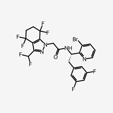 O=C(Cn1nc(C(F)F)c2c1C(F)(F)CCC2(F)F)N[C@@H](Cc1cc(F)cc(F)c1)c1ncccc1Br